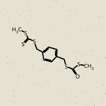 CSC(=O)SCc1ccc(CSC(=S)SC)cc1